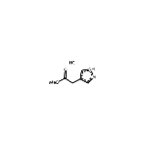 COC(=O)Cc1cn[nH]c1.Cl